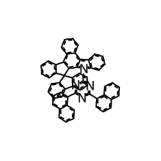 c1ccc2c(c1)-c1ccccc1C21c2ccccc2-c2c1c1c(c3ccccc23)c2ccccc2n1-c1nc(-c2cccc3ccccc23)nc(-c2cccc3ccccc23)n1